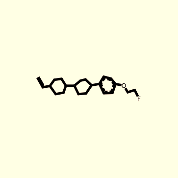 C=CC1CCC(C2CCC(c3ccc(OCCF)cc3)CC2)CC1